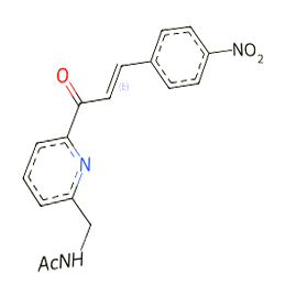 CC(=O)NCc1cccc(C(=O)/C=C/c2ccc([N+](=O)[O-])cc2)n1